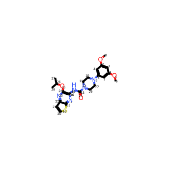 COc1cc(OC)cc(N2CCN(C(=O)Nc3nc4sccc4nc3OC(C)C)CC2)c1